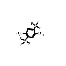 Cc1cc([Si](F)(F)F)c(C)cc1[Si](F)(F)F